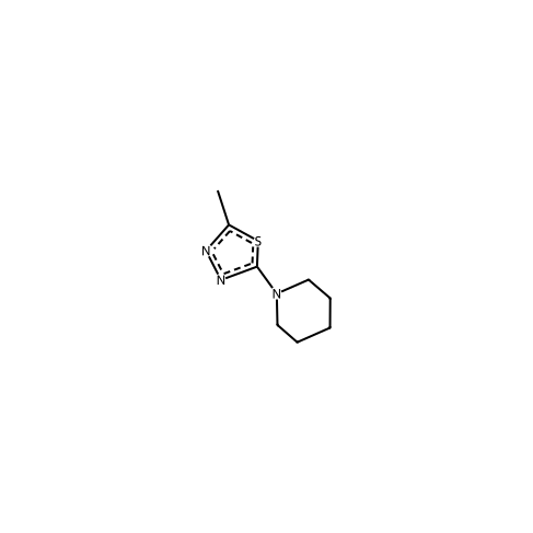 Cc1nnc(N2CCCCC2)s1